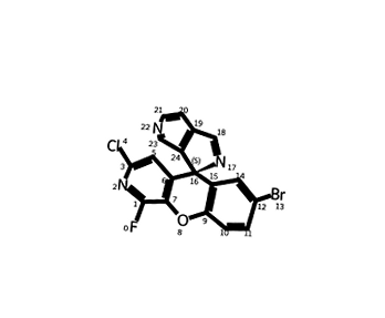 Fc1nc(Cl)cc2c1Oc1ccc(Br)cc1[C@]21N=Cc2ccncc21